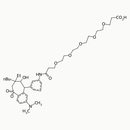 CCCCC1(CC)CS(=O)(=O)c2ccc(N(C)C)cc2C(c2cccc(NC(=O)CCOCCOCCOCCOCCOCCC(=O)O)c2)C1O